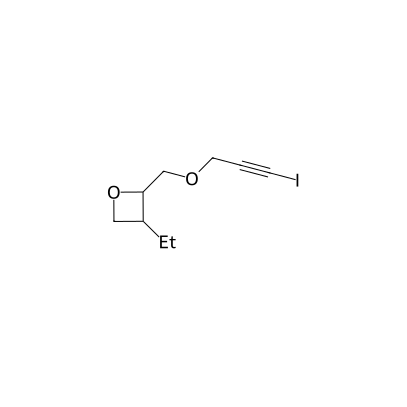 CCC1COC1COCC#CI